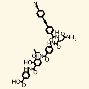 CC(C)Oc1c(NC(=O)c2ccc(NC(=O)[C@H](CC(N)=O)NC(=O)c3ccc(C#Cc4ccc(C#N)cc4)cc3)cc2)ccc(C(=O)Nc2ccc(C(=O)O)cc2)c1O